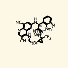 Cn1nnc2cccc([C@H](Nc3cc(C#N)c4ncc(C#N)c(NCC(C)(C)C)c4c3)c3cn(C4(C(F)(F)F)CC4)nn3)c21